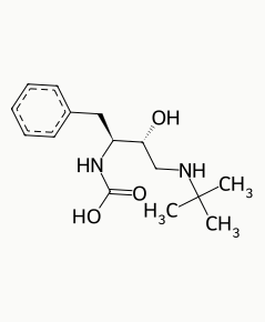 CC(C)(C)NC[C@@H](O)[C@H](Cc1ccccc1)NC(=O)O